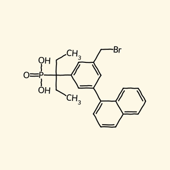 CCC(CC)(c1cc(CBr)cc(-c2cccc3ccccc23)c1)P(=O)(O)O